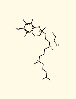 CCCO.Cc1c(C)c2c(c(C)c1O)CC[C@@](C)(CCC[C@H](C)CCC[C@H](C)CCCC(C)C)O2